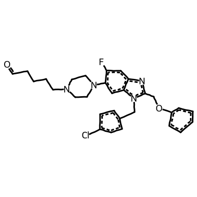 O=CCCCCN1CCN(c2cc3c(cc2F)nc(COc2ccccc2)n3Cc2ccc(Cl)cc2)CC1